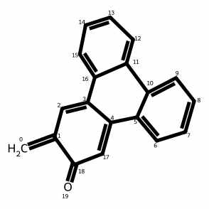 C=C1C=c2c(c3ccccc3c3ccccc23)=CC1=O